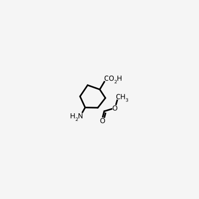 COC=O.NC1CCC(C(=O)O)CC1